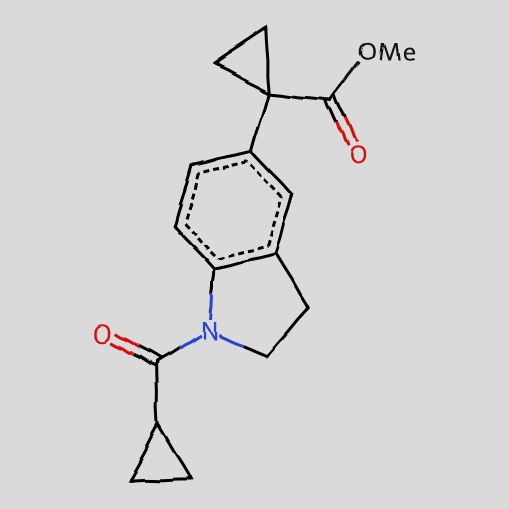 COC(=O)C1(c2ccc3c(c2)CCN3C(=O)C2CC2)CC1